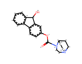 O=C(Oc1ccc2c(c1)C(O)c1ccccc1-2)N1CCN2CCC1CC2